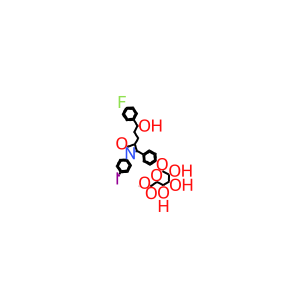 COC(=O)C1OC(Oc2ccc(C3C(CCC(O)c4ccc(F)cc4)C(=O)N3c3ccc(I)cc3)cc2)C(O)C(O)C1O